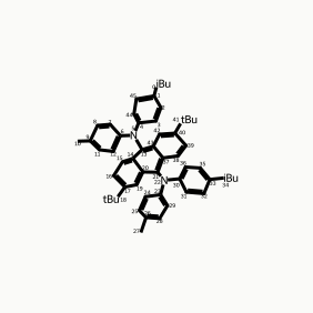 CCC(C)c1ccc(N(c2ccc(C)cc2)c2c3ccc(C(C)(C)C)cc3c(N(c3ccc(C)cc3)c3ccc(C(C)CC)cc3)c3ccc(C(C)(C)C)cc23)cc1